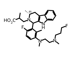 Cc1c(N(C)CCN(C)CCCF)ccc(F)c1C1c2[nH]c3ccccc3c2C[C@@H](C)N1CC(C)C(=O)O